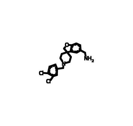 NCc1ccc2c(c1)C1(CCN(Cc3ccc(Cl)c(Cl)c3)CC1)CO2